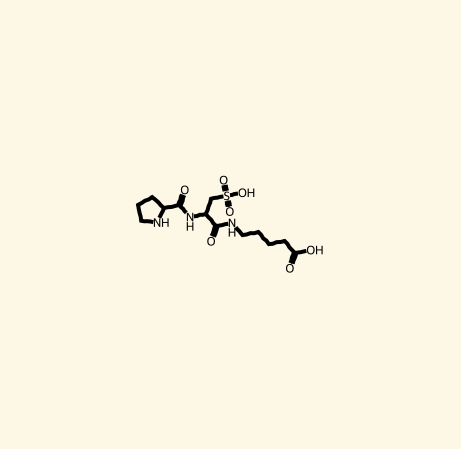 O=C(O)CCCCNC(=O)C(CS(=O)(=O)O)NC(=O)C1CCCN1